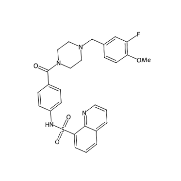 COc1ccc(CN2CCN(C(=O)c3ccc(NS(=O)(=O)c4cccc5cccnc45)cc3)CC2)cc1F